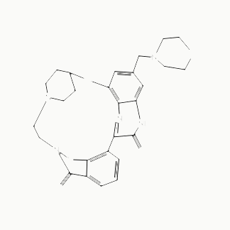 O=c1[nH]c2cc(CN3CCOCC3)cc3c2nc1-c1cccc2c(=O)n(sc12)CCN1CCC(CC1)O3